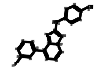 N#Cc1ccc(Nc2nc3c(-c4cccc(F)c4)cccn3n2)cc1